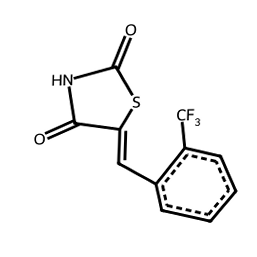 O=C1NC(=O)C(=Cc2ccccc2C(F)(F)F)S1